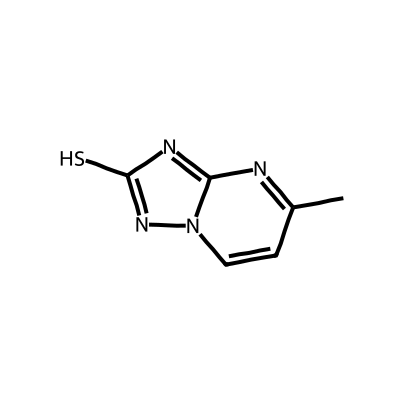 Cc1ccn2nc(S)nc2n1